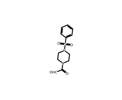 O=[C]C(=O)N1CCN(S(=O)(=O)c2ccccc2)CC1